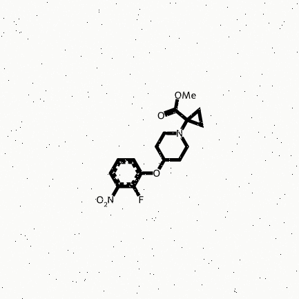 COC(=O)C1(N2CCC(Oc3cccc([N+](=O)[O-])c3F)CC2)CC1